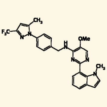 COc1cnc(-c2cccc3ccn(C)c23)nc1NCc1ccc(-n2nc(C(F)(F)F)cc2C)cc1